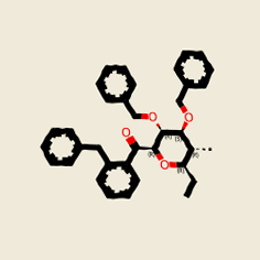 CC[C@H]1O[C@@H](C(=O)c2ccccc2Cc2ccccc2)[C@H](OCc2ccccc2)[C@@H](OCc2ccccc2)[C@@H]1C